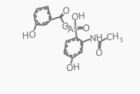 CC(=O)Nc1cc(O)ccc1[As](=O)(O)OC(=O)c1cccc(O)c1